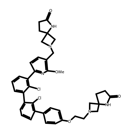 COc1nc(-c2cccc(-c3cccc(-c4ccc(OCCN5CC6(CCC(=O)N6)C5)cc4)c3Cl)c2Cl)ccc1CN1CC2(CCC(=O)N2)C1